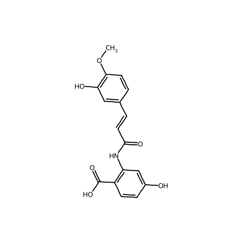 COc1ccc(/C=C/C(=O)Nc2cc(O)ccc2C(=O)O)cc1O